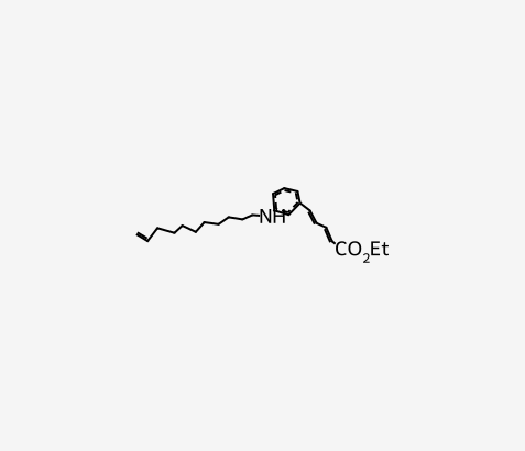 C=CCCCCCCCCCNc1cccc(C=CC=CC(=O)OCC)c1